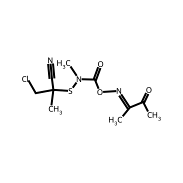 CC(=O)/C(C)=N/OC(=O)N(C)SC(C)(C#N)CCl